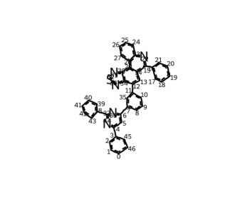 c1ccc(-c2cc(-c3cccc(-c4cc5c(-c6ccccc6)nc6ccccc6c5c5nsnc45)c3)nc(-c3ccccc3)n2)cc1